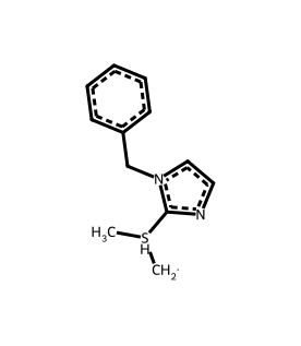 [CH2][SH](C)c1nccn1Cc1ccccc1